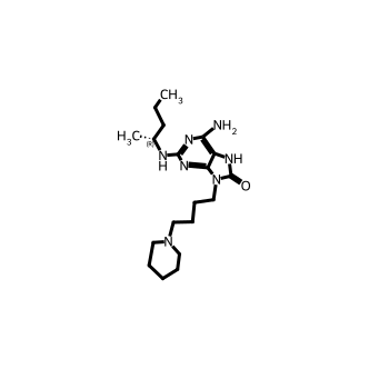 CCC[C@@H](C)Nc1nc(N)c2[nH]c(=O)n(CCCCN3CCCCC3)c2n1